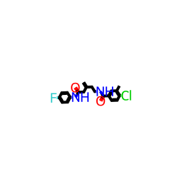 C=C(CCNC(=O)c1ccc(Cl)c(C)c1)CC(=O)Nc1ccc(F)cc1